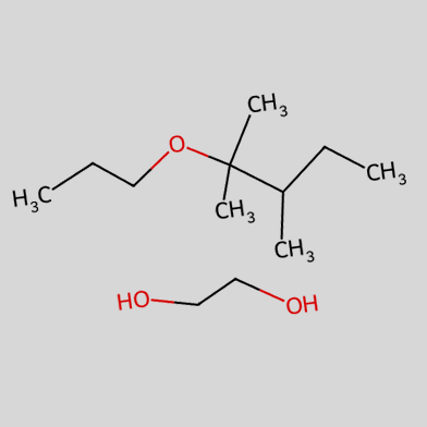 CCCOC(C)(C)C(C)CC.OCCO